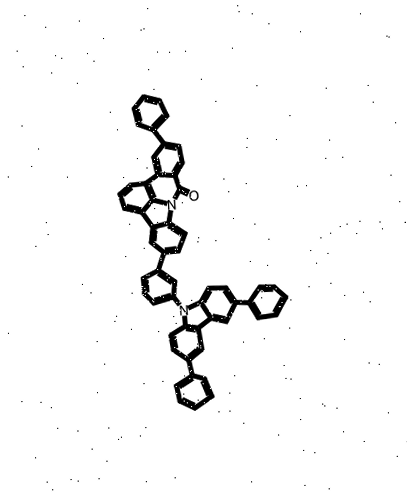 O=c1c2ccc(-c3ccccc3)cc2c2cccc3c4cc(-c5cccc(-n6c7ccc(-c8ccccc8)cc7c7cc(-c8ccccc8)ccc76)c5)ccc4n1c23